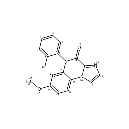 Cc1ccccc1-n1c(=O)c2nccn2c2ccc(OC(F)(F)F)cc21